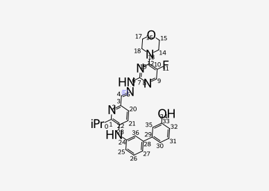 CC(C)c1nc(/C=N/Nc2ncc(F)c(N3CCOCC3)n2)ccc1Nc1cccc(-c2cccc(O)c2)c1